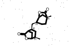 C[C@@H]1C[C@H](C[C@@H]2CC[C@]3(C)CC2OC3=O)C2CC1OC2=O